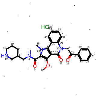 COc1c(C(=O)NCC2CCCNC2)n(C)c2c1c(=O)n(CC(=O)c1ccccc1)c1ccccc21.Cl